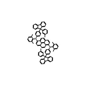 Cc1cccc(C2(c3ccc(N(c4c(C)cccc4C)c4ccc5ccc6c(N(c7ccc(C8(c9cccc(C)c9)c9ccccc9-c9ccccc98)cc7)c7c(C)cccc7C)ccc7ccc4c5c76)cc3)c3ccccc3-c3ccccc32)c1